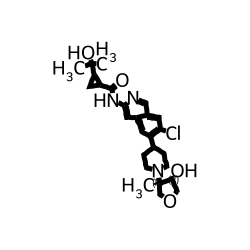 CC(C)(O)C1CC1C(=O)Nc1cc2cc(C3CCN([C@]4(C)COC[C@@H]4O)CC3)c(Cl)cc2cn1